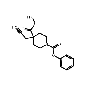 C#CCC1(C(=O)OC)CCN(C(=O)Oc2ccccc2)CC1